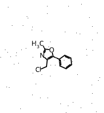 Cc1nc(CCl)c(-c2ccccc2)o1